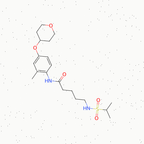 Cc1cc(OC2CCOCC2)ccc1NC(=O)CCCCNS(=O)(=O)C(C)C